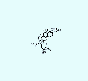 C=C(CC[C@@H](C)[C@H]1CC[C@@]2(C)C3CCC4C(C)(C)[C@@H](O)CC[C@@]45C[C@@]35CC[C@]12C)C(C)C